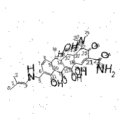 CC(C)=CNCc1ccc2c(c1O)C(=O)C1=C(O)[C@]3(O)C=C(C(N)=O)C(=O)[C@@H](N(C)C)[C@@H]3[C@@H](O)[C@@H]1[C@H]2C